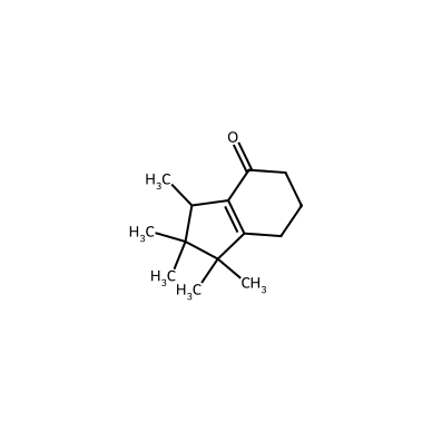 CC1C2=C(CCCC2=O)C(C)(C)C1(C)C